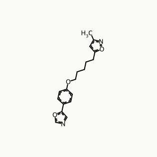 Cc1cc(CCCCCOc2ccc(-c3cnco3)cc2)on1